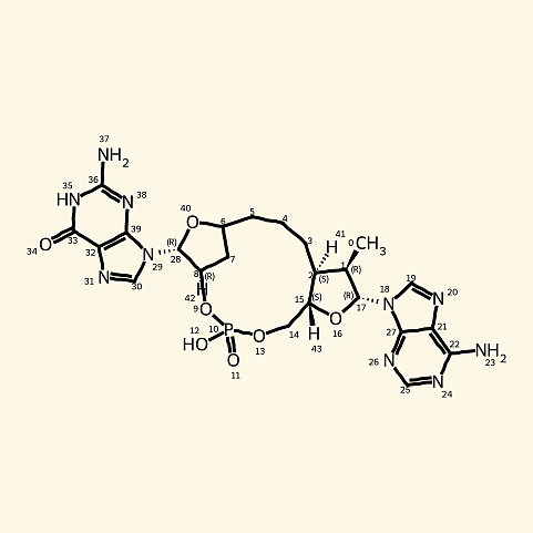 C[C@@H]1[C@@H]2CCCC3C[C@@H](OP(=O)(O)OC[C@H]2O[C@H]1n1cnc2c(N)ncnc21)[C@H](n1cnc2c(=O)[nH]c(N)nc21)O3